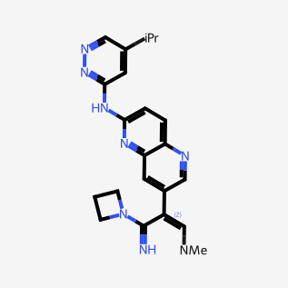 CN/C=C(\C(=N)N1CCC1)c1cnc2ccc(Nc3cc(C(C)C)cnn3)nc2c1